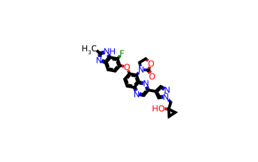 Cc1nc2ccc(Oc3ccc4ncc(-c5cnn(CC6(O)CC6)c5)nc4c3N3CCOC3=O)c(F)c2[nH]1